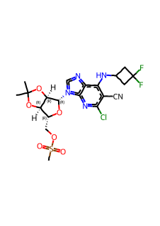 CC1(C)O[C@@H]2[C@H](O1)[C@@H](COS(C)(=O)=O)O[C@H]2n1cnc2c(NC3CC(F)(F)C3)c(C#N)c(Cl)nc21